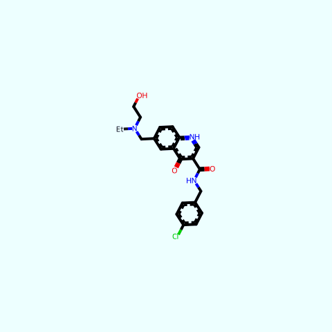 CCN(CCO)Cc1ccc2[nH]cc(C(=O)NCc3ccc(Cl)cc3)c(=O)c2c1